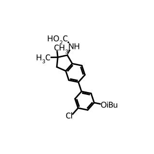 CC(C)COc1cc(Cl)cc(-c2ccc3c(c2)CC(C)(C)[C@H]3NC(=O)O)c1